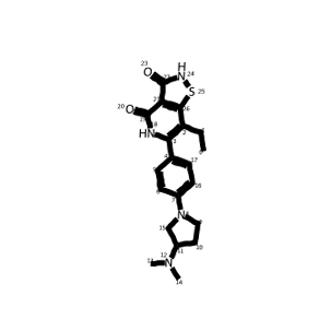 CCc1c(-c2ccc(N3CCC(N(C)C)C3)cc2)[nH]c(=O)c2c(=O)[nH]sc12